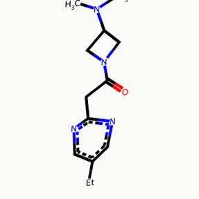 CCc1cnc(CC(=O)N2CC(N(C)C)C2)nc1